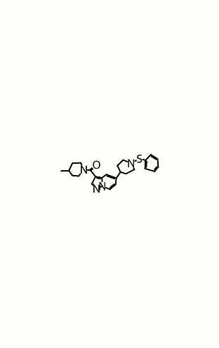 CC1CCN(C(=O)c2cnn3ccc(C4CCN(Sc5ccccc5)CC4)cc23)CC1